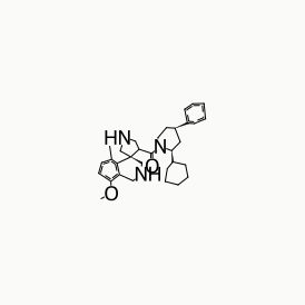 COc1ccc(C)c2c1CNC[C@]21CNCC1C(=O)N1CC[C@@H](c2ccccc2)C[C@H]1C1CCCCC1